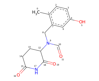 Cc1ccc(O)cc1CN(C=O)C1CCC(=O)NC1=O